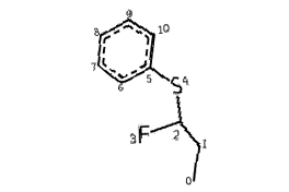 CCC(F)Sc1ccccc1